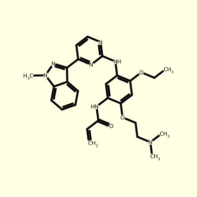 C=CC(=O)Nc1cc(Nc2nccc(-c3nn(C)c4ccccc34)n2)c(OCC)cc1OCCN(C)C